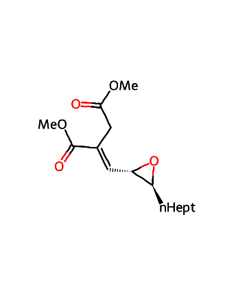 CCCCCCC[C@@H]1O[C@H]1/C=C(\CC(=O)OC)C(=O)OC